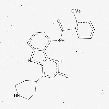 COc1ccccc1C(=O)Nc1cccc2nn3c(C4CCNCC4)cc(=O)[nH]c3c12